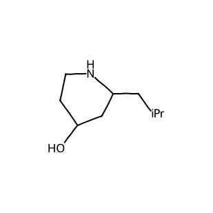 CC(C)CC1CC(O)CCN1